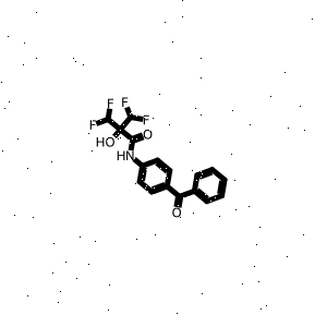 O=C(c1ccccc1)c1ccc(NC(=O)C(O)(C(F)F)C(F)F)cc1